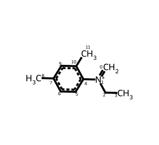 C=[N+](CC)c1ccc(C)cc1C